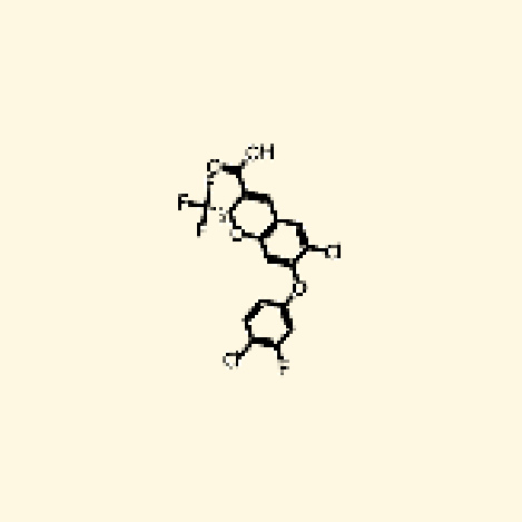 O=C(O)C1=Cc2cc(Cl)c(Oc3ccc(Cl)c(F)c3)cc2O[C@@H]1C(F)(F)F